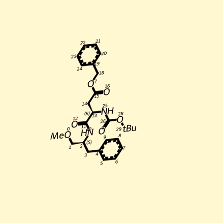 COC[C@H](Cc1ccccc1)NC(=O)[C@@H](CC(=O)OCc1ccccc1)NC(=O)OC(C)(C)C